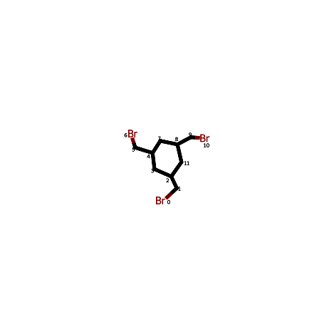 BrCC1CC(CBr)CC(CBr)C1